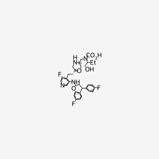 CCC(CO)N(C[C@H]1CO[C@H](CCc2c(F)cncc2NC(=O)CC(c2ccc(F)cc2)c2ccc(F)cc2)CN1)C(=O)O